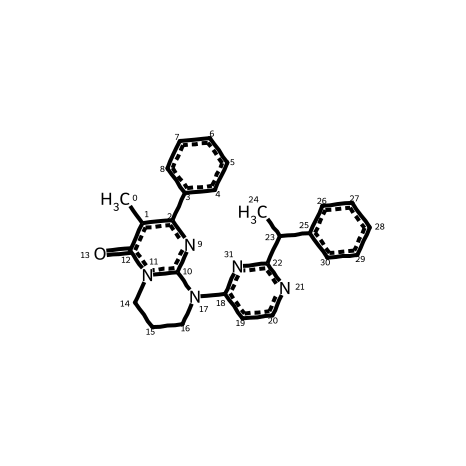 Cc1c(-c2ccccc2)nc2n(c1=O)CCCN2c1ccnc(C(C)c2ccccc2)n1